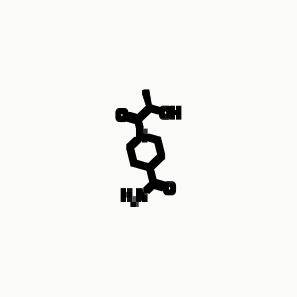 C[C@@H](O)C(=O)N1CCC(C(N)=O)CC1